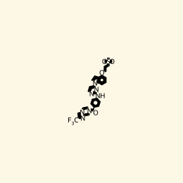 CS(=O)(=O)CCCOc1cccc2c1ccn2-c1ccnc(N[C@H]2CC[C@H](C(=O)N3CCn4cc(C(F)(F)F)nc4C3)CC2)n1